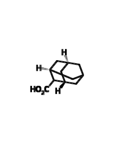 O=C(O)C1[C@H]2CC3C[C@@H](C2)C[C@H]1C3